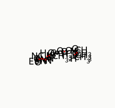 BC(C)(C)C(C)(C)C(C)C(=O)NCCOCCOCCOc1ccc(C(C)(C)OC(=O)n2ccc3c(-c4cnn(C5(CC#N)CN(S(=O)(=O)CC)C5)c4)ncnc32)cc1